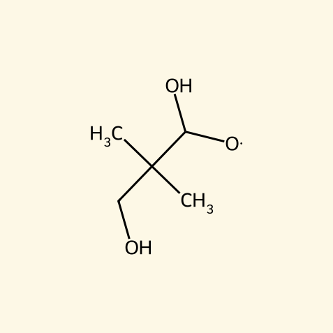 CC(C)(CO)C([O])O